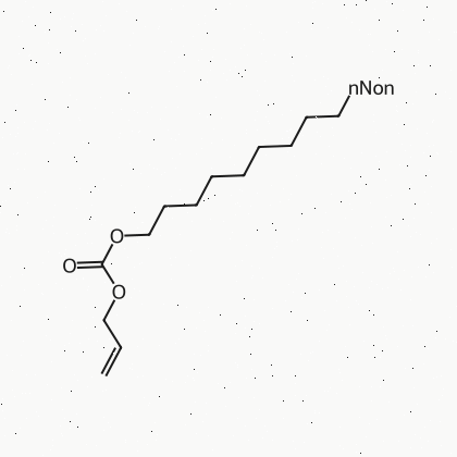 C=CCOC(=O)OCCCCCCCCCCCCCCCCCC